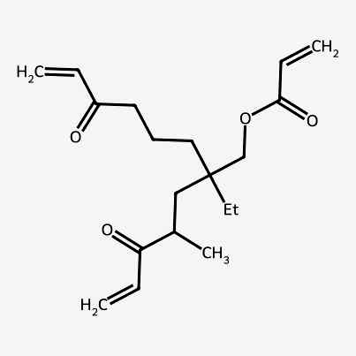 C=CC(=O)CCCC(CC)(COC(=O)C=C)CC(C)C(=O)C=C